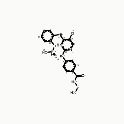 CONC(=O)c1ccc(Nc2ncc(Cl)c(Nc3ccccc3O[PH](=O)O)n2)cc1